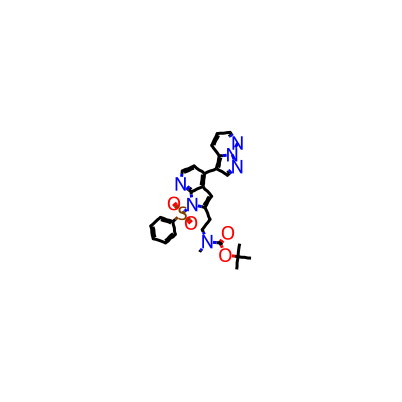 CN(CCc1cc2c(-c3cnn4ncccc34)ccnc2n1S(=O)(=O)c1ccccc1)C(=O)OC(C)(C)C